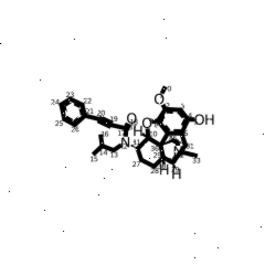 COc1cc(O)c2c3c1O[C@H]1[C@@H](N(CC(C)C)C(=O)C#Cc4ccccc4)CC[C@H]4[C@@H](C2)N(C)CC[C@@]341